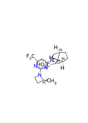 C[C@H]1CCN1c1nc(N2C[C@H]3CC[C@@H](C2)[C@@H]3CC(=O)O)cc(C(F)(F)F)n1